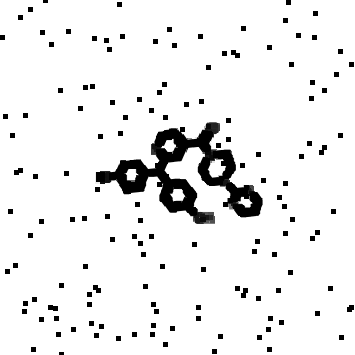 O=C(c1ccnc(C(c2ccc(O)cc2)c2ccc(O)cc2)c1)N1CCN(c2ncccn2)CC1